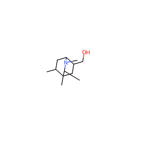 CC1CC2C(CO)CC1(C)C(C)N2C